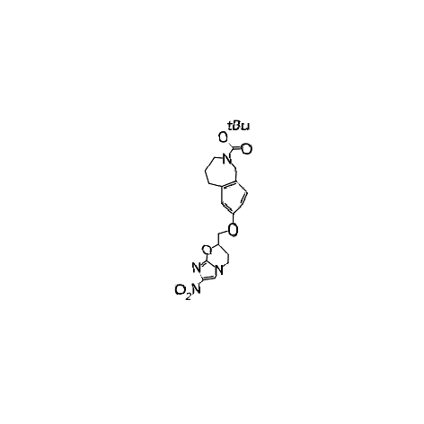 CC(C)(C)OC(=O)N1CCCc2cc(OCC3CCn4cc([N+](=O)[O-])nc4O3)ccc2C1